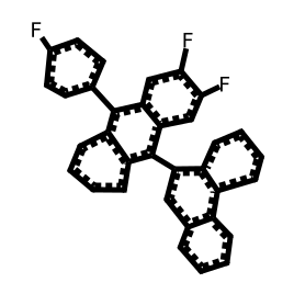 Fc1ccc(-c2c3ccccc3c(-c3cc4ccccc4c4ccccc34)c3cc(F)c(F)cc23)cc1